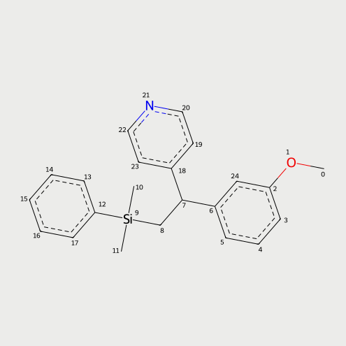 COc1cccc(C(C[Si](C)(C)c2ccccc2)c2ccncc2)c1